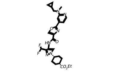 CCOC(=O)[C@H]1CC[C@@H](n2cc(NC(=O)c3coc(-c4ccnc(N(C)CC5CC5)c4)n3)c(C(F)F)n2)CC1